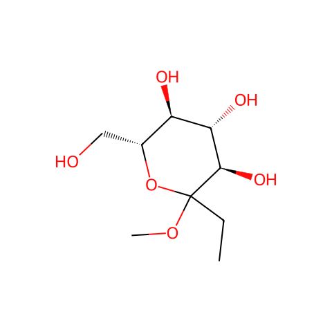 CCC1(OC)O[C@H](CO)[C@@H](O)[C@H](O)[C@H]1O